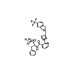 NC(=O)C(O)C(Cc1ccccc1)NC(=O)c1cccnc1-n1ccc(CN2Cc3ccc(C(F)(F)F)cc3C2)n1